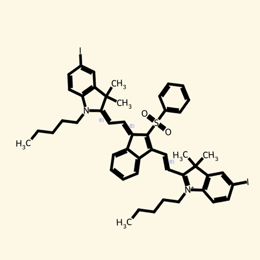 CCCCCN1/C(=C/C=C2C(S(=O)(=O)c3ccccc3)=C(/C=C/C3=[N+](CCCCC)c4ccc(I)cc4C3(C)C)c3ccccc3/2)C(C)(C)c2cc(I)ccc21